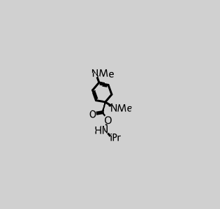 CNC1=CCC(NC)(C(=O)ONC(C)C)C=C1